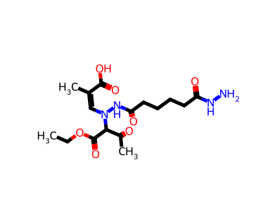 CCOC(=O)C(C(C)=O)N(C=C(C)C(=O)O)NC(=O)CCCCC(=O)NN